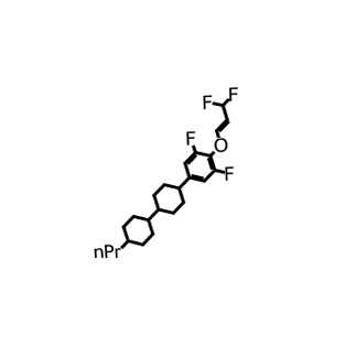 CCCC1CCC(C2CCC(c3cc(F)c(O/C=C/C(F)F)c(F)c3)CC2)CC1